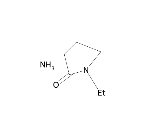 CCN1CCCC1=O.N